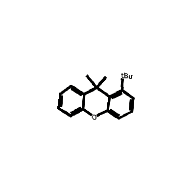 CC(C)(C)c1cccc2c1C(C)(C)c1ccccc1O2